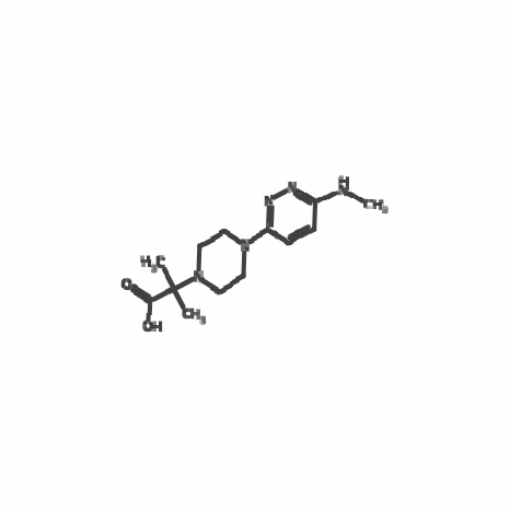 CNc1ccc(N2CCN(C(C)(C)C(=O)O)CC2)nn1